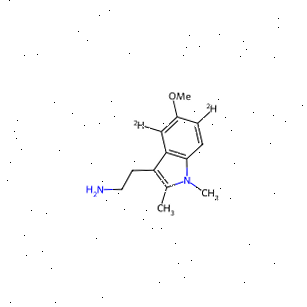 [2H]c1cc2c(c([2H])c1OC)c(CCN)c(C)n2C